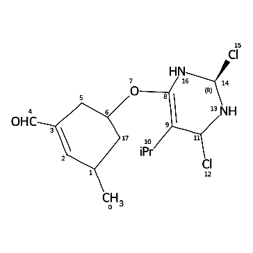 CC1C=C(C=O)CC(OC2=C(C(C)C)C(Cl)N[C@H](Cl)N2)C1